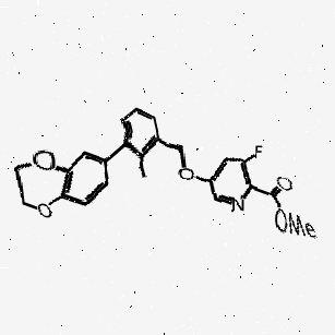 COC(=O)c1ncc(OCc2cccc(-c3ccc4c(c3)OCCO4)c2C)cc1F